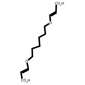 O=C(O)C=COCCCCCCOC=CC(=O)O